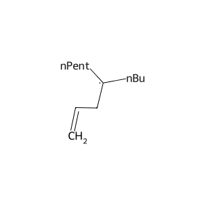 C=CC[C](CCCC)CCCCC